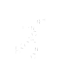 CN1CCC(N(C)c2ccc(CN(C(=O)/C=C/c3ccc(C(F)(F)F)cc3)C3CCN(Cc4ccccc4)CC3)cc2)CC1